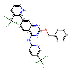 FC(F)(F)c1ccc(Nc2nc(OCc3ccccc3)nc3cc(-c4ncccc4C(F)(F)F)ccc23)nc1